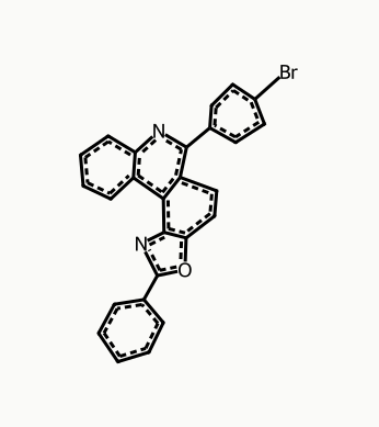 Brc1ccc(-c2nc3ccccc3c3c2ccc2oc(-c4ccccc4)nc23)cc1